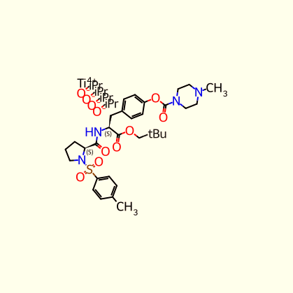 CC(C)[O-].CC(C)[O-].CC(C)[O-].CC(C)[O-].Cc1ccc(S(=O)(=O)N2CCC[C@H]2C(=O)N[C@@H](Cc2ccc(OC(=O)N3CCN(C)CC3)cc2)C(=O)OCC(C)(C)C)cc1.[Ti+4]